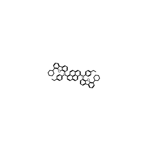 CCc1ccc(N(c2ccc3ccc4c(N(c5ccc(CC)cc5)c5cccc6c5oc5c(C7CCCCC7)cccc56)ccc5ccc2c3c54)c2cccc3c2oc2c(C4CCCCC4)cccc23)cc1